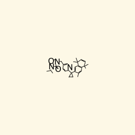 Cc1cc2c(cc1C1(c3ccc(CN(C=O)C(=O)N(C)C(C)C)cn3)CC1)C(C)(C)C=CC2(C)C